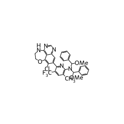 COC(c1ccccc1)N(c1nc(-c2cc3ncnc4c3c(c2Cl)OCCN4)c(C(F)(F)F)cc1C)C(OC)c1ccccc1